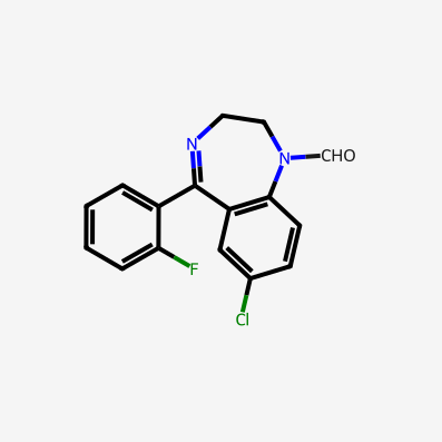 O=CN1CCN=C(c2ccccc2F)c2cc(Cl)ccc21